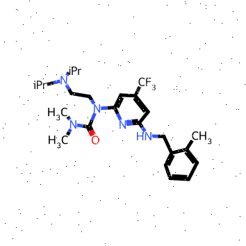 Cc1ccccc1CNc1cc(C(F)(F)F)cc(N(CCN(C(C)C)C(C)C)C(=O)N(C)C)n1